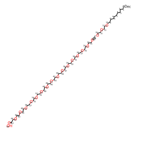 CCCCCCCCCCCCCCCCCCCCOCCOCCOCCOCCOCCOCCOCCOCCOCCOCCOCCOCCOCCOCCOCCOCCOCCOCCOCCOO